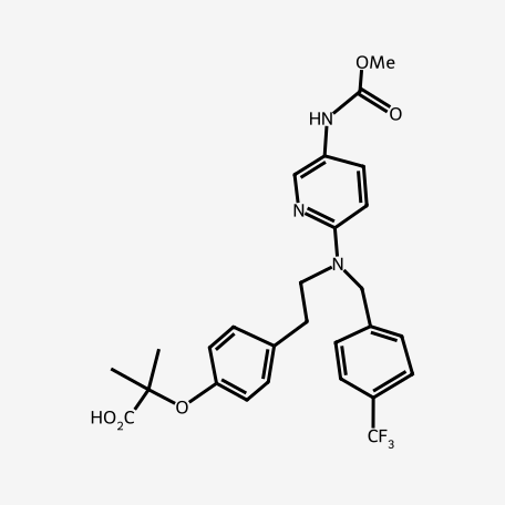 COC(=O)Nc1ccc(N(CCc2ccc(OC(C)(C)C(=O)O)cc2)Cc2ccc(C(F)(F)F)cc2)nc1